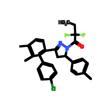 Cc1ccc(C2CC(c3ccc(C)c(C)c3-c3ccc(Cl)cc3)=NN2C(=O)C(F)(F)CC(=O)O)cc1